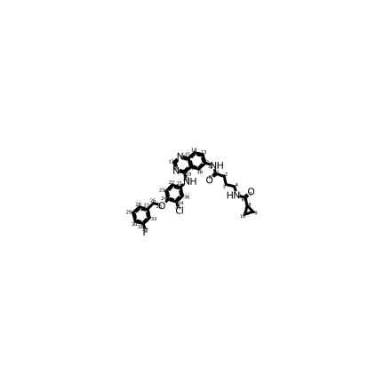 O=C(CCCNC(=O)C1CC1)Nc1ccc2ncnc(Nc3ccc(OCc4cccc(F)c4)c(Cl)c3)c2c1